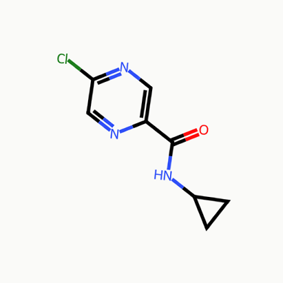 O=C(NC1CC1)c1cnc(Cl)cn1